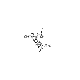 C=CCC(C)C(CCOCCOC)S(=O)(=O)NC(=O)c1ccc2c(c1)N(C[C@@H]1CC[C@H]1C(O)/C=C/CCC)C[C@@]1(CCCc3cc(Cl)ccc31)CO2